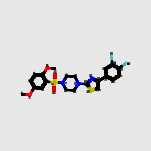 COc1ccc(OC)c(S(=O)(=O)N2CCN(c3nc(-c4ccc(F)c(F)c4)cs3)CC2)c1